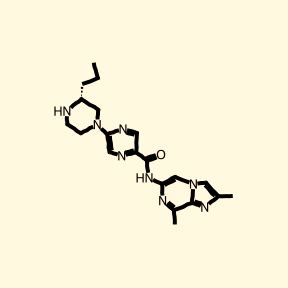 CCC[C@@H]1CN(c2cnc(C(=O)Nc3cn4cc(C)nc4c(C)n3)cn2)CCN1